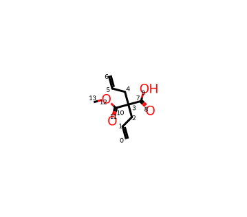 C=CCC(CC=C)(C(=O)O)C(=O)OC